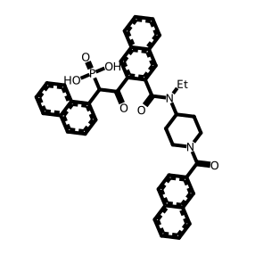 CCN(C(=O)c1cc2ccccc2cc1C(=O)C(c1cccc2ccccc12)P(=O)(O)O)C1CCN(C(=O)c2ccc3ccccc3c2)CC1